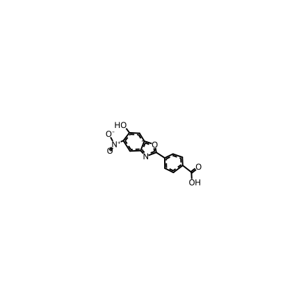 O=C(O)c1ccc(-c2nc3cc([N+](=O)[O-])c(O)cc3o2)cc1